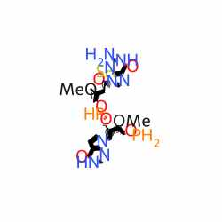 CO[C@H](COPOC[C@@H](Cn1ccc2c(=O)[nH]cnc21)[C@@H](COP)OC)C[C@@H](OS)n1cnc2c(=O)[nH]c(N)nc21